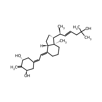 C=C1[C@H](O)CC(=C/C=C2\CCC[C@]3(C)[C@@H]([C@@H](C)/C=C/CC(C)(C)O)CC[C@@H]23)C[C@H]1O